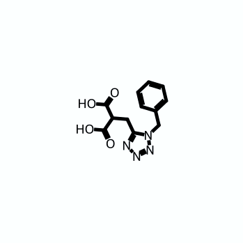 O=C(O)C(Cc1nnnn1Cc1ccccc1)C(=O)O